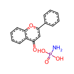 NP(=O)(O)O.O=c1cc(-c2ccccc2)oc2ccccc12